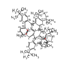 Cc1cc2c3c(c1)N(c1ccc(C(C)(C)C)cc1-c1ccccc1)c1cc4c(cc1B3c1cc3c(cc1N2c1ccc(C(C)(C)C)cc1C1=CC=CCC1)C(C)(C)CCC3(C)C)C(C)(C)CCC4(C)C